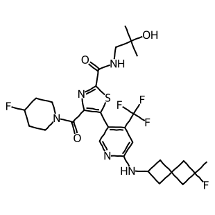 CC(C)(O)CNC(=O)c1nc(C(=O)N2CCC(F)CC2)c(-c2cnc(NC3CC4(C3)CC(C)(F)C4)cc2C(F)(F)F)s1